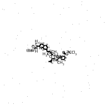 C[C@H](NC(=O)C(OC(=O)C(C)(C)/C=C/c1ccc2ccc([C@@H](C)NC(=O)OC(C)(C)C)nc2c1)C1CC1)C(=O)N1CCC[C@@H](C(=O)OCC(Cl)(Cl)Cl)N1